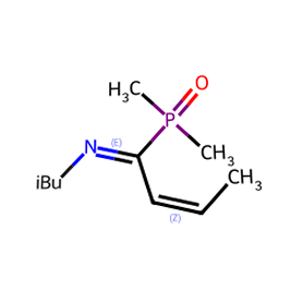 C/C=C\C(=N/C(C)CC)P(C)(C)=O